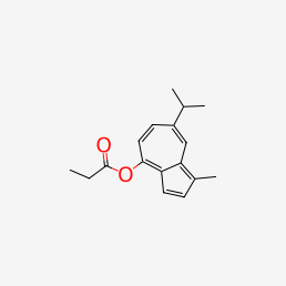 CCC(=O)Oc1ccc(C(C)C)cc2c(C)ccc1-2